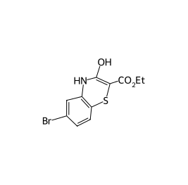 CCOC(=O)C1=C(O)Nc2cc(Br)ccc2S1